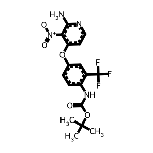 CC(C)(C)OC(=O)Nc1ccc(Oc2ccnc(N)c2[N+](=O)[O-])cc1C(F)(F)F